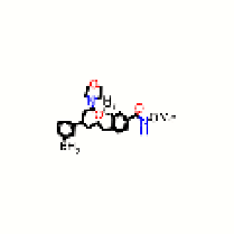 Bc1cccc(C(CCCc2ccc(C(=O)NOC)cc2C)CC(=O)N2CCOCC2)c1